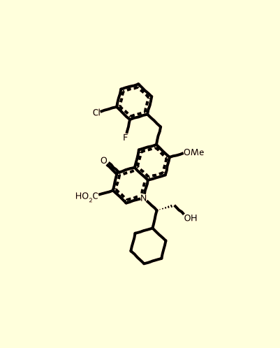 COc1cc2c(cc1Cc1cccc(Cl)c1F)c(=O)c(C(=O)O)cn2[C@H](CO)C1CCCCC1